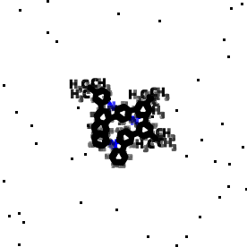 CC(C)(C)c1ccc2c(c1)c1cc3ccccc3c3c4cc5c(cc4n2c13)c1cc(C(C)(C)C)cc2c3cc(C(C)(C)C)cc(-c4ccc6c(c4)c4ccccc4n6-c4ccccc4)c3n5c12